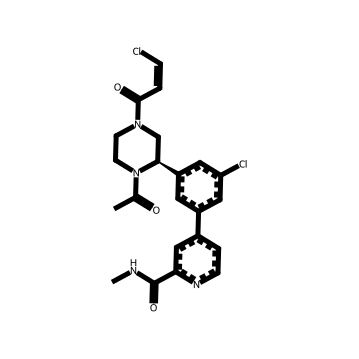 CNC(=O)c1cc(-c2cc(Cl)cc([C@@H]3CN(C(=O)/C=C\Cl)CCN3C(C)=O)c2)ccn1